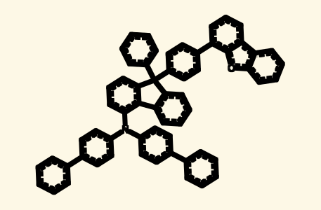 c1ccc(-c2ccc(N(c3ccc(-c4ccccc4)cc3)c3cccc4c3-c3ccccc3C4(c3ccccc3)c3ccc(-c4cccc5c4oc4ccccc45)cc3)cc2)cc1